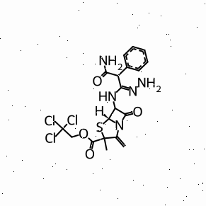 C=C1N2C(=O)C(NC(=NN)C(C(N)=O)c3ccccc3)[C@H]2SC1(C)C(=O)OCC(Cl)(Cl)Cl